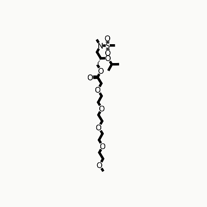 COCCOCCOCCOCCOCC(=O)OC[C@H](CN(C)S(C)(=O)=O)OC(C)C